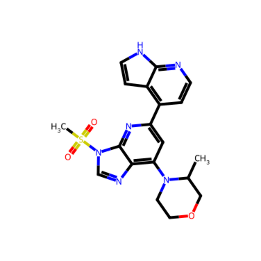 CC1COCCN1c1cc(-c2ccnc3[nH]ccc23)nc2c1ncn2S(C)(=O)=O